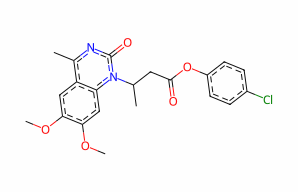 COc1cc2c(C)nc(=O)n(C(C)CC(=O)Oc3ccc(Cl)cc3)c2cc1OC